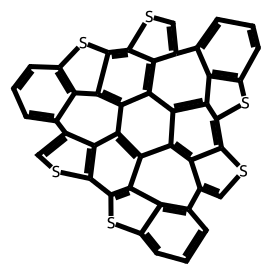 c1cc2sc3c4scc5c6cccc7sc8c9scc%10c%11cccc%12sc%13c%14scc%15c(c1)c2c3c1c(c54)c(c8c76)c(c%109)c(c%13c%12%11)c1c%15%14